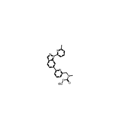 Cc1cccc(-n2ncc3ccc(-c4cccc(CN(C)C(=O)OC(C)(C)C)n4)cc32)n1